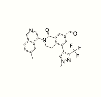 Cc1ccc2cncc(N3CCc4c(cc(C=O)cc4-c4cn(C)nc4C(F)(F)F)C3=O)c2c1